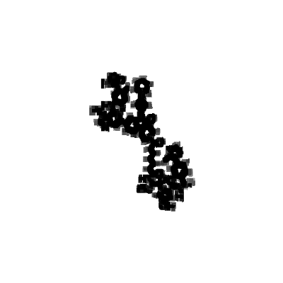 Cc1cc(F)c(Nc2nc(-c3ccc4c(c3)N([C@H]3C[C@@H](N5CCCCC5)C3)C(=O)C43CCN(C(=O)CCCCCC(=O)N[C@H](C(=O)N4C[C@H](O)C[C@H]4C(=O)N[C@@H](C)c4ccc(-c5scnc5C)cc4)C(C)(C)C)CC3)cc3ncn(C(C)C)c23)cc1C(=O)NC(C)C